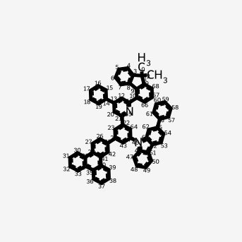 CC1(C)c2ccccc2-c2c(-c3cc(-c4ccccc4)cc(-c4cc(-c5ccc6c7ccccc7c7ccccc7c6c5)cc(-n5c6ccccc6c6ccc(-c7ccccc7)cc65)c4)n3)cccc21